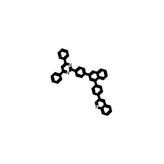 c1ccc(-c2cc(-c3ccccc3)nc(-c3ccc(-c4cc(-c5ccc(-c6cnc7ccccc7c6)cc5)c5ccccc5c4)cc3)n2)cc1